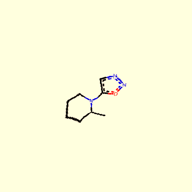 CC1CCCCN1c1cnno1